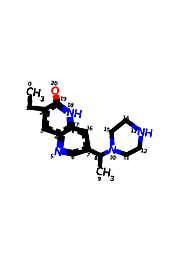 CCc1cc2ncc(C(C)N3CCNCC3)cc2[nH]c1=O